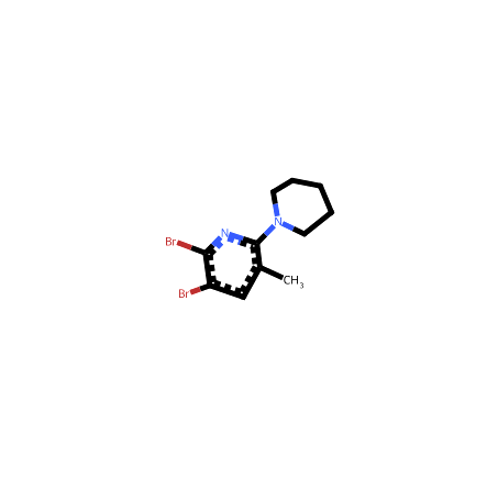 Cc1cc(Br)c(Br)nc1N1CCCCC1